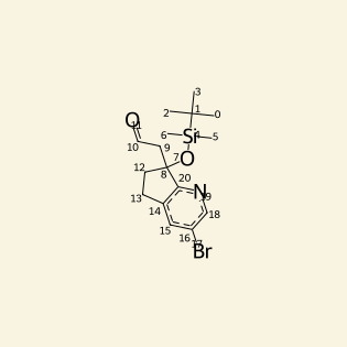 CC(C)(C)[Si](C)(C)OC1(CC=O)CCc2cc(Br)cnc21